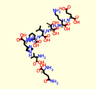 CC(C)C[C@H](N)C(=O)O.CC(C)[C@H](N)C(=O)O.C[C@@H](O)[C@H](N)C(=O)O.NC(=O)CC[C@H](N)C(=O)O.NCCCC[C@H](N)C(=O)O.N[C@@H](CCC(=O)O)C(=O)O.N[C@@H](Cc1c[nH]cn1)C(=O)O.O=C(O)[C@@H]1CCCN1